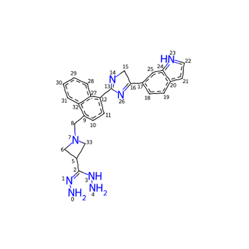 N/N=C(\NN)C1CN(Cc2ccc(C3=NCC(c4ccc5cc[nH]c5c4)=N3)c3ccccc23)C1